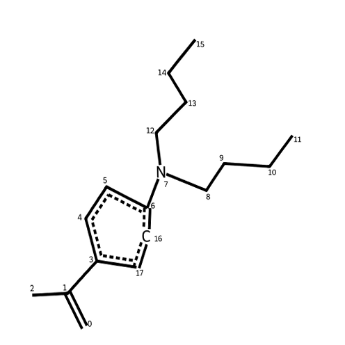 C=C(C)c1ccc(N(CCCC)CCCC)cc1